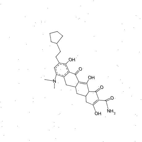 CN(C)c1cc(CCC2CCCC2)c(O)c2c1CC1CC3CC(O)=C(C(N)=O)C(=O)C3C(O)=C1C2=O